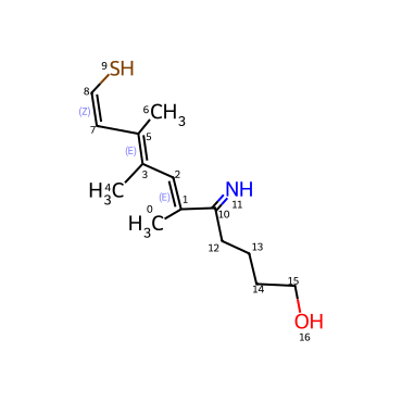 C\C(=C/C(C)=C(C)/C=C\S)C(=N)CCCCO